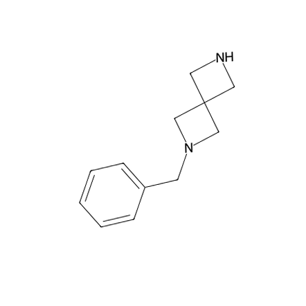 c1ccc(CN2CC3(CNC3)C2)cc1